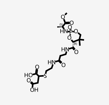 COC(=O)[C@H](C)NP1(=O)OCC(C)(C)[C@H](C(=O)NCCC(=O)NCCSC(CC(=O)O)C(=O)O)O1